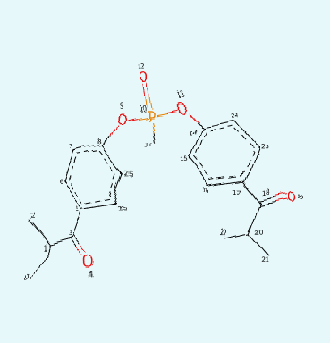 CC(C)C(=O)c1ccc(OP(C)(=O)Oc2ccc(C(=O)C(C)C)cc2)cc1